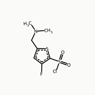 CN(C)Cc1cc(F)c(S(=O)(=O)Cl)s1